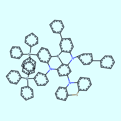 c1ccc(-c2ccc(N3c4ccc(-c5ccccc5)cc4B4c5ccc([Si](c6ccccc6)(c6ccccc6)c6ccccc6)cc5N(c5cccc([Si](c6ccccc6)(c6ccccc6)c6ccccc6)c5)c5cc(N6c7ccccc7Sc7ccccc76)cc3c54)cc2)cc1